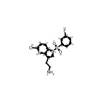 NCCc1cn(S(=O)(=O)c2cccc(F)c2)c2ccc(Cl)nc12